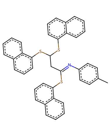 Cc1ccc(N=C(CC(Sc2cccc3ccccc23)Sc2cccc3ccccc23)Sc2cccc3ccccc23)cc1